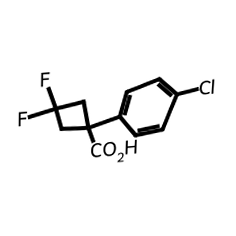 O=C(O)C1(c2ccc(Cl)cc2)CC(F)(F)C1